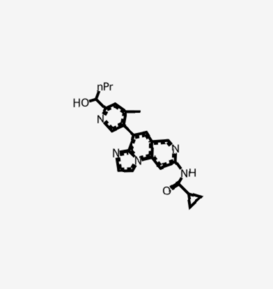 CCCC(O)c1cc(C)c(-c2cc3cnc(NC(=O)C4CC4)cc3n3ccnc23)cn1